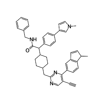 C#Cc1cnc(CC2CCC(C(C(=O)NCc3ccccc3)c3ccc(-c4ccn(C)c4)cc3)CC2)nc1-c1ccc2c(c1)C=CC2C